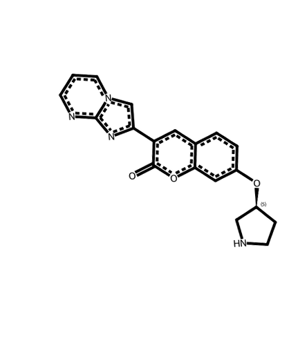 O=c1oc2cc(O[C@H]3CCNC3)ccc2cc1-c1cn2cccnc2n1